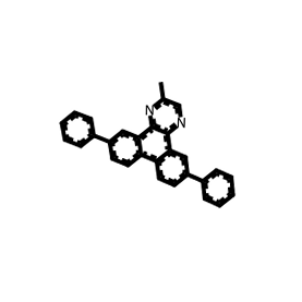 Cc1cnc2c3cc(-c4ccccc4)ccc3c3ccc(-c4ccccc4)cc3c2n1